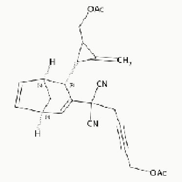 C=C1C(COC(C)=O)C1[C@@H]1C(C(C#N)(C#N)CC#CCOC(C)=O)=C[C@H]2C=C[C@@H]1C2